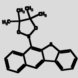 CC1(C)OB(c2c3ccccc3cc3c2sc2ccccc23)OC1(C)C